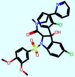 COc1ccc(S(=O)(=O)N2c3ccc(Cl)cc3C(O)(c3ccccc3Cl)C2C(=O)N(C)CCc2ccccn2)cc1OC